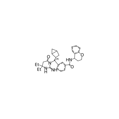 CCC1(CC)CC(=O)N(C(c2cccc(C(=O)NC3CCOc4ccccc43)c2)[C@@H]2CC3CC32)C(=N)N1